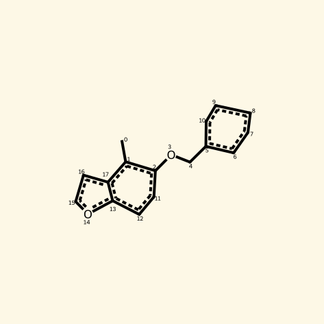 Cc1c(OCc2ccccc2)ccc2occc12